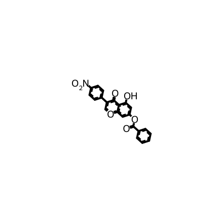 O=C(Oc1cc(O)c2c(=O)c(-c3ccc([N+](=O)[O-])cc3)coc2c1)c1ccccc1